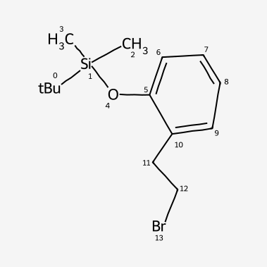 CC(C)(C)[Si](C)(C)Oc1ccccc1CCBr